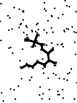 CCCCO[C@H](C)[C@H](C)COC(C)(C)O